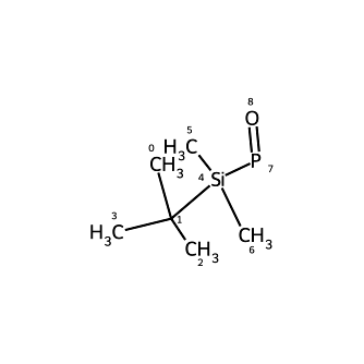 CC(C)(C)[Si](C)(C)P=O